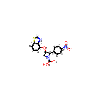 O=C(O)N1CC(Oc2cccc3scnc23)C1c1ccc([N+](=O)[O-])cc1